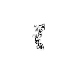 Cc1c(Cl)cccc1NC(=O)CC(=O)Nc1ccc(Oc2ccnc3[nH]ccc23)c(F)c1